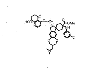 COC(=O)C1(Nc2cccc(Cl)c2)CCC2(CC1)c1cc3c(cc1C[C@@H]2C[C@@H](C)COc1ccnc2c1[C@H](C)CC[C@@H]2O)OCC(CN(C)C)CO3